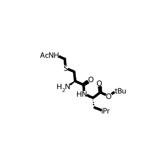 CC(=O)NCSC[C@H](N)C(=O)N[C@@H](CC(C)C)C(=O)OC(C)(C)C